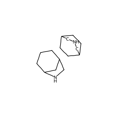 C1CC2CCC1CNC2.C1CC2CNC(C1)C2